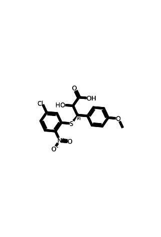 COc1ccc([C@@H](Sc2cc(Cl)ccc2[N+](=O)[O-])C(O)C(=O)O)cc1